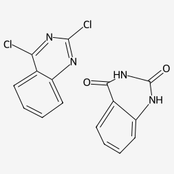 Clc1nc(Cl)c2ccccc2n1.O=c1[nH]c(=O)c2ccccc2[nH]1